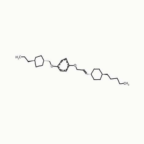 CCCCC[C@H]1CC[C@H](/C=C/COc2ccc(OC[C@H]3CC[C@H](CCC)CC3)cc2)CC1